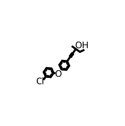 CCC(C)(O)C#Cc1ccc(Oc2cccc(Cl)c2)cc1